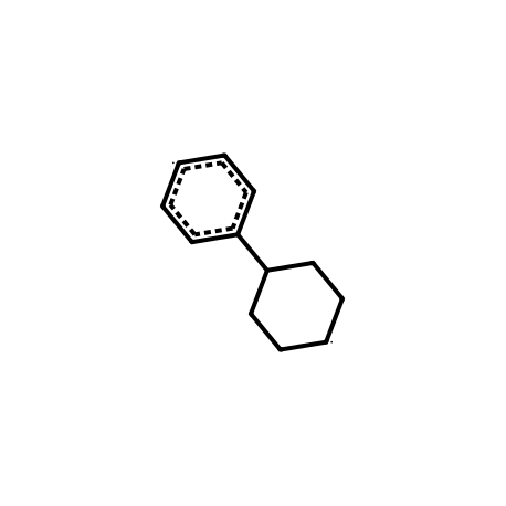 [c]1ccc(C2CC[CH]CC2)cc1